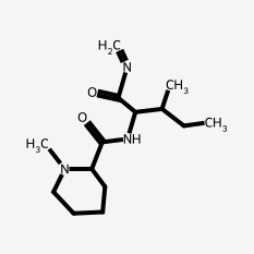 C=NC(=O)C(NC(=O)C1CCCCN1C)C(C)CC